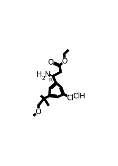 CCOC(=O)C[C@H](N)c1cc(Cl)cc(C(C)(C)COC)c1.Cl